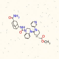 COC(=O)C[C@H]1CCN(c2cccnc2)[C@H](N2CCN(C(=O)NC3C4CC5CC3CC(C(N)=O)(C5)C4)c3ccccc32)C1